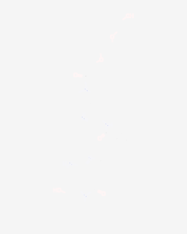 CCCN(CCO)C(=O)C1=Cc2ccc(C3(C(=O)Nc4cnc5c(c4)CN(C(=O)CCOCCOCCO)CC5)CC3)cc2N=C(N)C1